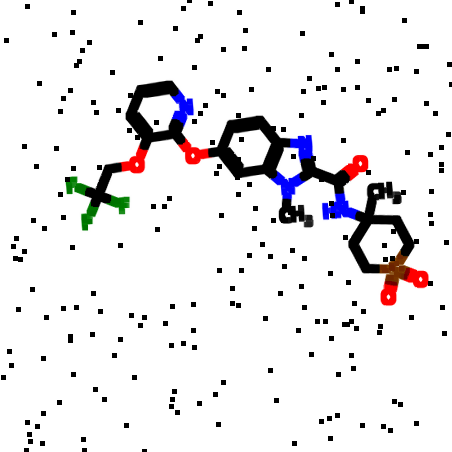 Cn1c(C(=O)NC2(C)CCS(=O)(=O)CC2)nc2ccc(Oc3ncccc3OCC(F)(F)F)cc21